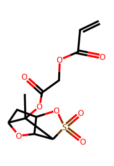 C=CC(=O)OCC(=O)OC1(C)C2CC3OS(=O)(=O)C1C3O2